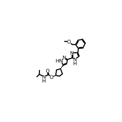 COCc1ccccc1-c1c[nH]c(-c2cc([C@H]3CC[C@@H](OC(=O)NC(C)C)C3)[nH]n2)n1